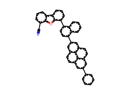 N#Cc1cccc2c1oc1c(-c3ccc(-c4cc5ccc6cc(-c7ccccc7)cc7ccc(c4)c5c67)c4ccccc34)cccc12